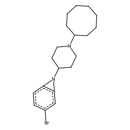 Brc1ccc2c(c1)N2C1CCN(C2CCCCCCC2)CC1